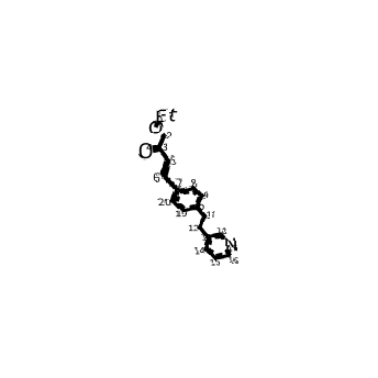 CCOCC(=O)/C=C/c1ccc(CCc2cccnc2)cc1